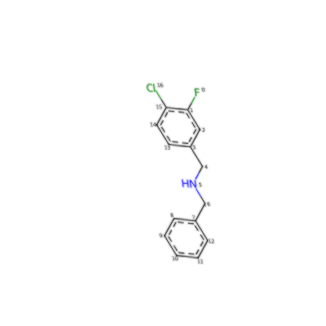 Fc1cc(CN[CH]c2ccccc2)ccc1Cl